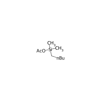 CCCCC[Si](C)(C)OC(C)=O